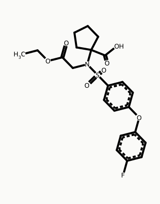 CCOC(=O)CN(C1(C(=O)O)CCCC1)S(=O)(=O)c1ccc(Oc2ccc(F)cc2)cc1